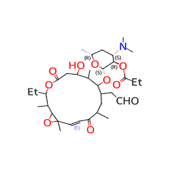 CCC(=O)O[C@H]1[C@H](OC2C(CC=O)CC(C)C(=O)/C=C/C3(C)OC3C(C)C(CC)OC(=O)CC(O)C2C)O[C@H](C)C[C@@H]1N(C)C